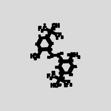 Nc1ccc(C(O)(C(F)(F)F)C(F)(F)F)cc1SSc1cc(C(O)(C(F)(F)F)C(F)(F)F)ccc1N